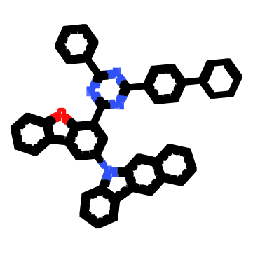 C1=CCCC(c2ccc(-c3nc(-c4ccccc4)nc(-c4cc(-n5c6ccccc6c6cc7ccccc7cc65)cc5c4oc4ccccc45)n3)cc2)=C1